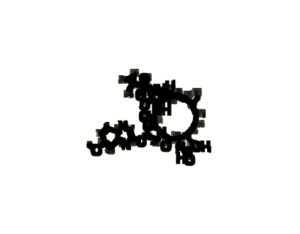 COc1ccc2ncc(O[C@@H]3C[C@H]4C(=O)N[C@]5(C(=O)NS(=O)(=O)C6(C)CC6)C[C@H]5/C=C\[C@@H](C)CCC[C@@H](C)[C@H](NC(=O)O)C(=O)N4C3)nc2c1